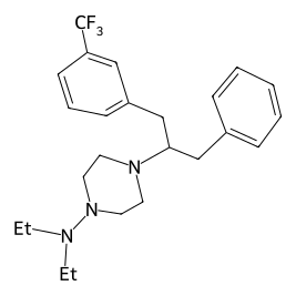 CCN(CC)N1CCN(C(Cc2ccccc2)Cc2cccc(C(F)(F)F)c2)CC1